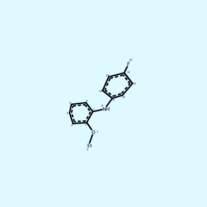 CCOc1c[c]ccc1Nc1ccc(F)cc1